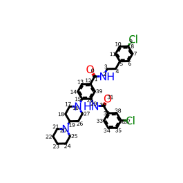 O=C(NCCc1ccc(Cl)cc1)c1ccc(N2CCC(N3CCCCC3)CC2)c(NC(=O)c2cccc(Cl)c2)c1